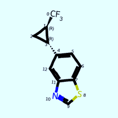 FC(F)(F)[C@@H]1C[C@H]1c1ccc2scnc2c1